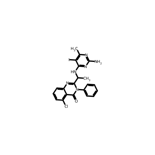 Cc1nc(N)nc(NC(C)c2nc3cccc(Cl)c3c(=O)n2-c2ccccc2)c1I